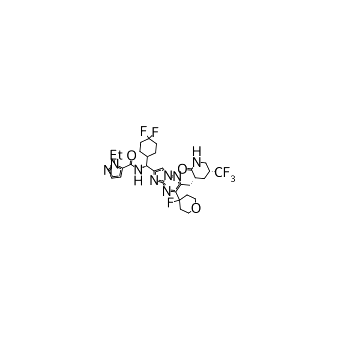 CCn1nccc1C(=O)N[C@H](c1cn2nc(C[C@H]3C[C@@H](C(F)(F)F)CNC3=O)c(C3(F)CCOCC3)nc2n1)C1CCC(F)(F)CC1